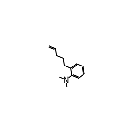 C=CCCCc1ccccc1N(C)C